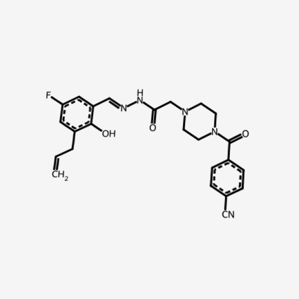 C=CCc1cc(F)cc(C=NNC(=O)CN2CCN(C(=O)c3ccc(C#N)cc3)CC2)c1O